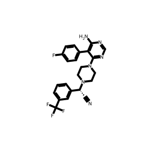 N#C[C@H](c1cccc(C(F)(F)F)c1)N1CCN(c2ncnc(N)c2-c2ccc(F)cc2)CC1